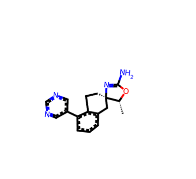 C[C@H]1OC(N)=N[C@@]12CCc1c(cccc1-c1cncnc1)C2